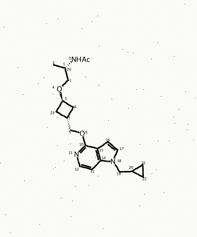 CC(=O)N[C@@H](C)CO[C@H]1C[C@H](COc2nccc3c2ccn3CC2CC2)C1